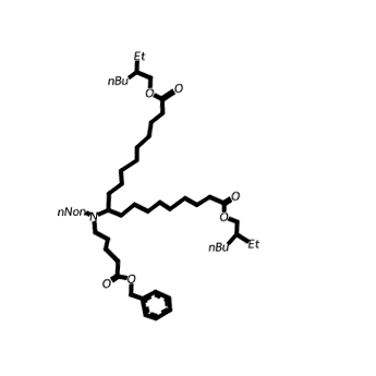 CCCCCCCCCN(CCCCC(=O)OCc1ccccc1)C(CCCCCCCCC(=O)OCC(CC)CCCC)CCCCCCCCC(=O)OCC(CC)CCCC